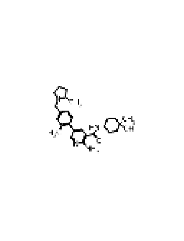 Cc1cc(CN2CCC[C@H]2C)ccc1-c1cnc(N)c(C(=O)N[C@H]2CC[C@](C)(O)CC2)c1